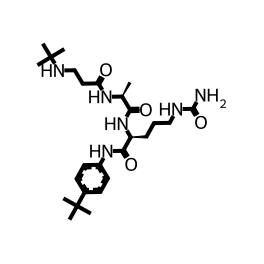 C[C@H](NC(=O)CCNC(C)(C)C)C(=O)N[C@@H](CCCNC(N)=O)C(=O)Nc1ccc(C(C)(C)C)cc1